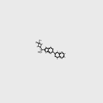 O[C@H](c1cc2ccc(-c3ccc4nccnc4c3)nc2s1)C1CC(F)(F)C1